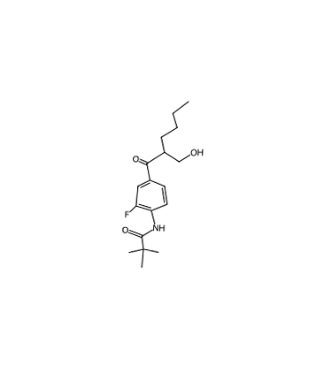 CCCCC(CO)C(=O)c1ccc(NC(=O)C(C)(C)C)c(F)c1